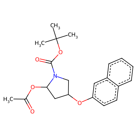 CC(=O)OC1CC(Oc2ccc3ccccc3c2)CN1C(=O)OC(C)(C)C